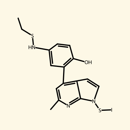 CCSNc1ccc(O)c(-c2cc(C)nc3c2ccn3SI)c1